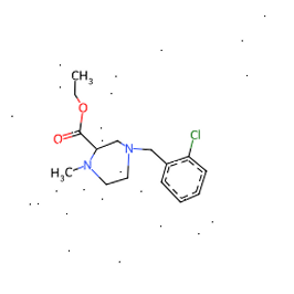 CCOC(=O)C1CN(Cc2ccccc2Cl)CCN1C